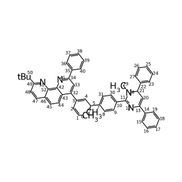 C/C=C\C(=C/C(C)c1ccc(C2=NC(c3ccccc3)=CC(c3ccccc3)N2C)cc1)c1cc(-c2ccccc2)nc2c1ccc1ccc(C(C)(C)C)nc12